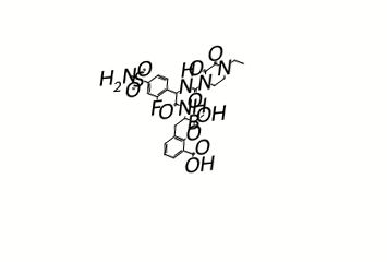 CCN1CCN(C(=O)NC(C(=O)N[C@H]2Cc3cccc(C(=O)O)c3OB2O)c2ccc(S(N)(=O)=O)cc2F)C(=O)C1=O